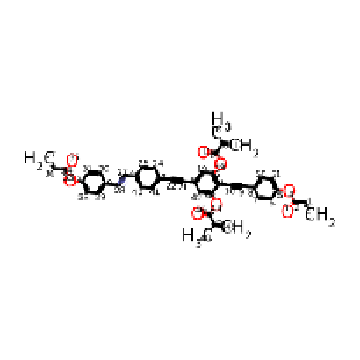 C=CC(=O)Oc1ccc(C#Cc2c(OC(=O)C(=C)C)cc(C#Cc3ccc(/C=C/c4ccc(OC(=O)C=C)cc4)cc3)cc2OC(=O)C(=C)C)cc1